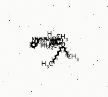 CCCCCCCCCC(CCCCC)O[C@@H]1C[C@@](C)(OC)[C@@H](OC(=O)NCCNCc2cnc3ccccc3c2)[C@H](C)O1